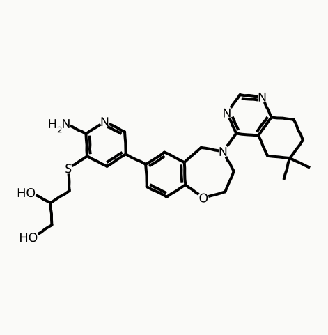 CC1(C)CCc2ncnc(N3CCOc4ccc(-c5cnc(N)c(SCC(O)CO)c5)cc4C3)c2C1